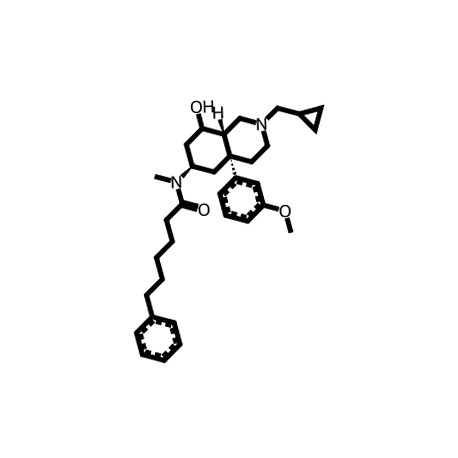 COc1cccc([C@@]23CCN(CC4CC4)C[C@H]2C(O)C[C@H](N(C)C(=O)CCCCCc2ccccc2)C3)c1